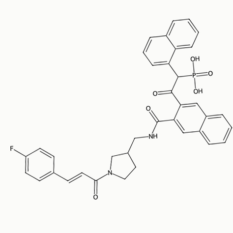 O=C(NCC1CCN(C(=O)C=Cc2ccc(F)cc2)C1)c1cc2ccccc2cc1C(=O)C(c1cccc2ccccc12)P(=O)(O)O